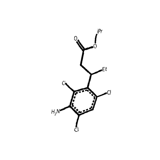 CCC(CC(=O)OC(C)C)c1c(Cl)cc(Cl)c(N)c1Cl